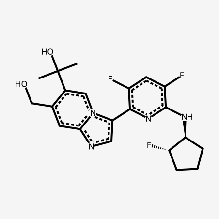 CC(C)(O)c1cn2c(-c3nc(N[C@H]4CCC[C@@H]4F)c(F)cc3F)cnc2cc1CO